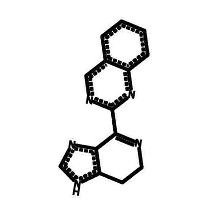 c1ccc2nc(C3=NCCc4[nH]cnc43)ncc2c1